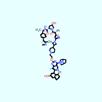 CCc1cccc2cc(O)cc(-c3ncc4c(N5CC6CCC(C5)N6)nc(OCCN5CCC(C6CN(c7cc([C@H](C(=O)N8C[C@H](O)C[C@H]8C(=O)N[C@@H](C)c8ccc(-c9scnc9C)cc8)C(C)C)on7)C6)CC5)nc4c3F)c12